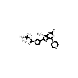 Cn1c(C2CCN(C(=O)OC(C)(C)C)C2)nc2c(N3CCOCC3)nc(Cl)nc21